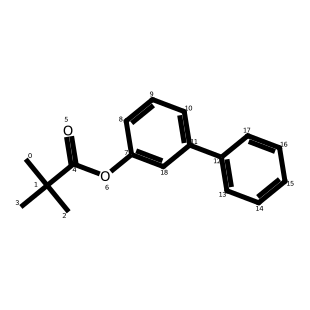 CC(C)(C)C(=O)Oc1cccc(-c2ccccc2)c1